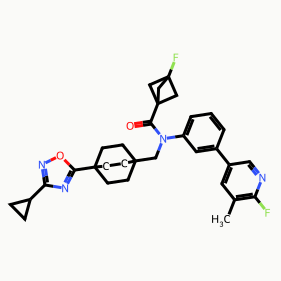 Cc1cc(-c2cccc(N(CC34CCC(c5nc(C6CC6)no5)(CC3)CC4)C(=O)C34CC(F)(C3)C4)c2)cnc1F